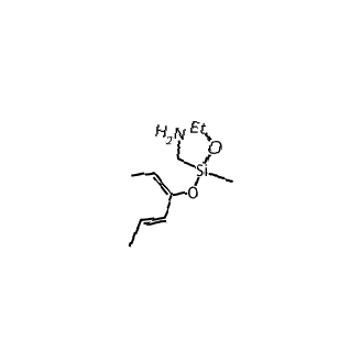 CC=CC(=CC)O[Si](C)(CN)OCC